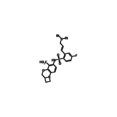 CCN(CC)CC=Cc1cc(F)ccc1S(=O)(=O)Nc1ccc2c(c1C(=O)O)OCC1CCN21